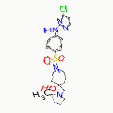 C[C@@H]1CCCN1CC1(O)CCN(S(=O)(=O)c2ccc(Nc3nccc(Cl)n3)cc2)CC1